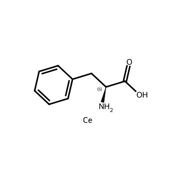 N[C@@H](Cc1ccccc1)C(=O)O.[Ce]